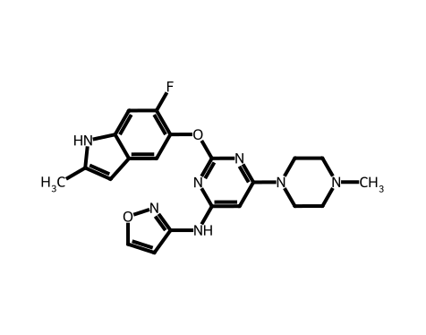 Cc1cc2cc(Oc3nc(Nc4ccon4)cc(N4CCN(C)CC4)n3)c(F)cc2[nH]1